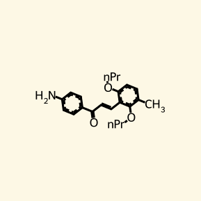 CCCOc1ccc(C)c(OCCC)c1C=CC(=O)c1ccc(N)cc1